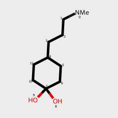 CNCCCC1CCC(O)(O)CC1